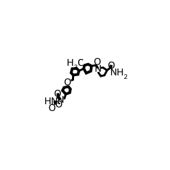 Cc1cc(C(=O)N2CCCC(C(N)=O)C2)ccc1-c1cccc(COc2ccc(Cn3oc(=O)[nH]c3=O)cc2)c1